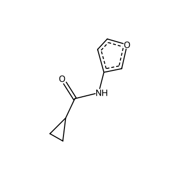 O=C(Nc1ccoc1)C1CC1